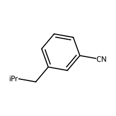 CC(C)Cc1cccc(C#N)c1